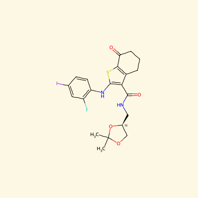 CC1(C)OC[C@H](CNC(=O)c2c(Nc3ccc(I)cc3F)sc3c2CCCC3=O)O1